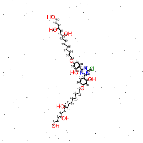 OCCCC(O)CCC(O)CCCCCCCCOc1ccc(-c2nc(Cl)nc(-c3ccc(OCCCCCCCCC(O)CCC(O)CCCO)cc3O)n2)c(O)c1